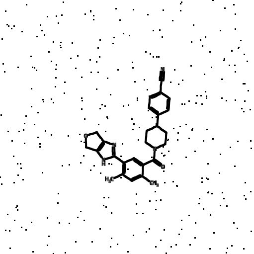 Cc1cc(C)c(-c2nc3c([nH]2)COC3)cc1C(=O)N1CCC(c2ccc(C#N)cc2)CC1